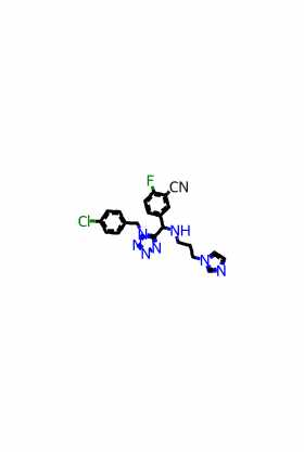 N#Cc1cc(C(NCCCn2ccnc2)c2nnnn2Cc2ccc(Cl)cc2)ccc1F